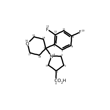 O=C(O)C1CCN(C2(c3ccc(F)cc3F)CCOCC2)C1